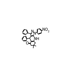 CC1(C)CC(=O)C2=C(C1)Nc1c(c(-c3ccccc3)nn1-c1ccc([N+](=O)[O-])cc1)C2c1ccccc1